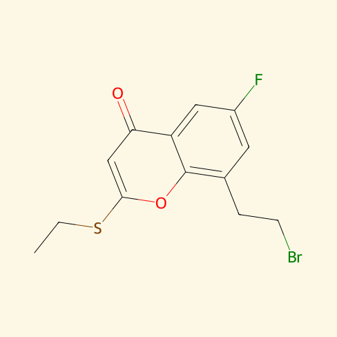 CCSc1cc(=O)c2cc(F)cc(CCBr)c2o1